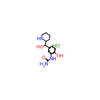 Cl.NC(=O)Nc1cc(C(O)C2CCCCN2)ccc1O